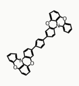 c1ccc2c(c1)Oc1cccc3c1N2c1ccc(-c2ccc(-c4ccc5c(c4)Oc4cccc6c4N5c4ccccc4O6)cc2)cc1O3